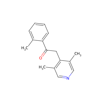 Cc1ccccc1C(=O)Cc1c(C)cncc1C